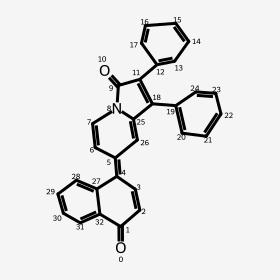 O=C1C=C/C(=C2/C=CN3C(=O)C(c4ccccc4)=C(c4ccccc4)C3=C2)c2ccccc21